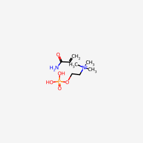 C=CC(N)=O.C[N+](C)(C)CCOP(=O)(O)O